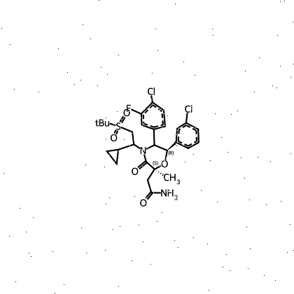 CC(C)(C)S(=O)(=O)CC(C1CC1)N1C(=O)[C@](C)(CC(N)=O)O[C@H](c2cccc(Cl)c2)C1c1ccc(Cl)c(F)c1